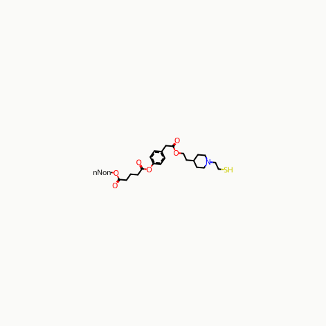 CCCCCCCCCOC(=O)CCCC(=O)Oc1ccc(CC(=O)OCCC2CCN(CCS)CC2)cc1